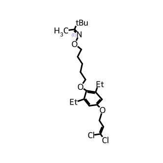 CCc1cc(OCC=C(Cl)Cl)cc(CC)c1OCCCCCO/N=C(\C)C(C)(C)C